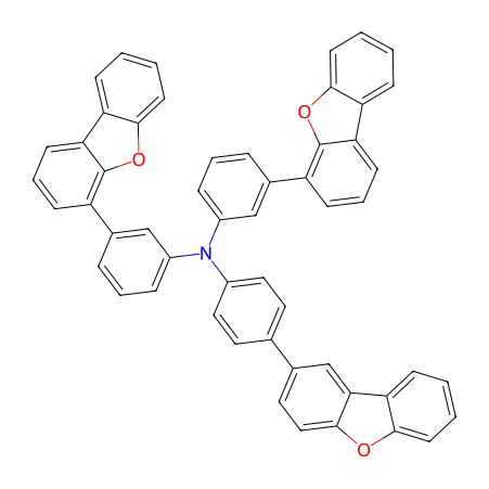 c1cc(-c2cccc3c2oc2ccccc23)cc(N(c2ccc(-c3ccc4oc5ccccc5c4c3)cc2)c2cccc(-c3cccc4c3oc3ccccc34)c2)c1